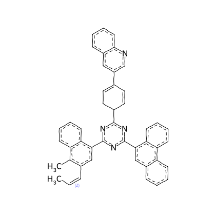 C/C=C\c1cc(-c2nc(-c3cc4ccccc4c4ccccc34)nc(C3C=CC(c4cnc5ccccc5c4)=CC3)n2)c2ccccc2c1C